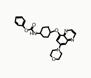 O=C(NC1CCC(Oc2cc(N3CCOCC3)cc3nccnc23)CC1)Oc1ccccc1